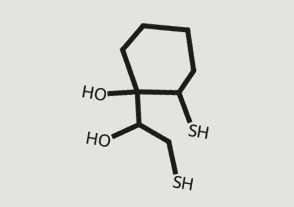 OC(CS)C1(O)CCCCC1S